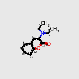 CCN(CC)c1[c]c2ccccc2oc1=O